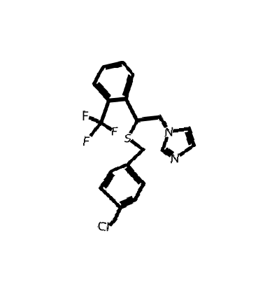 FC(F)(F)c1ccccc1C(Cn1ccnc1)SCc1ccc(Cl)cc1